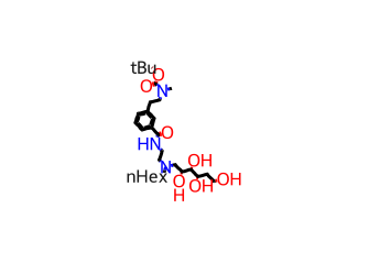 CCCCCCN(CCNC(=O)c1cccc(CCN(C)C(=O)OC(C)(C)C)c1)C[C@H](O)[C@@H](O)[C@H](O)CCO